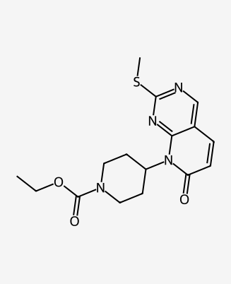 CCOC(=O)N1CCC(n2c(=O)ccc3cnc(SC)nc32)CC1